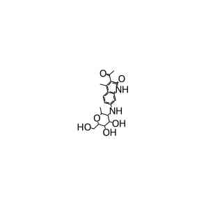 CC(=O)c1c(C)c2ccc(NC3C(C)OC(CO)C(O)C3O)cc2[nH]c1=O